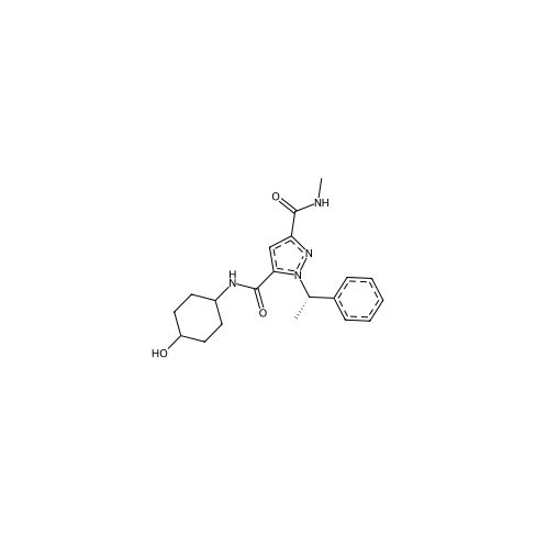 CNC(=O)c1cc(C(=O)NC2CCC(O)CC2)n([C@@H](C)c2ccccc2)n1